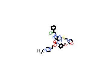 CN1CCN(CCOC(=O)N(c2cccc(Br)c2)c2nc(SCCN3CCOCC3)nc3c2cnn3CC(Cl)c2ccccc2)CC1